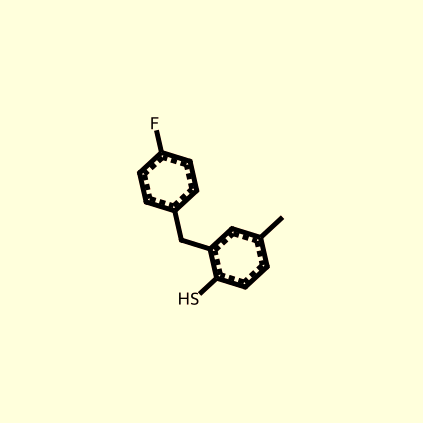 Cc1ccc(S)c(Cc2ccc(F)cc2)c1